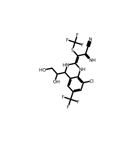 N#CC(=N)/C(SC(F)(F)F)=C1\Nc2c(Cl)cc(C(F)(F)F)cc2C(C(O)CO)N1